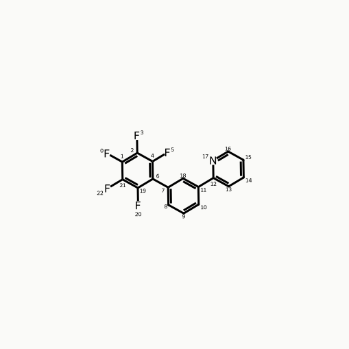 Fc1c(F)c(F)c(-c2cccc(-c3ccccn3)c2)c(F)c1F